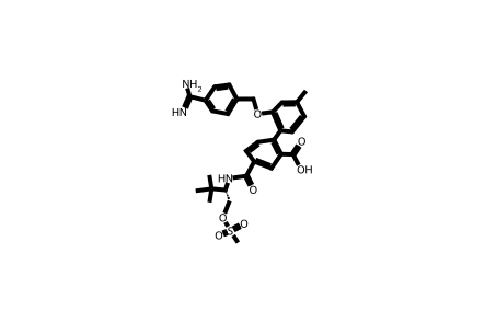 Cc1ccc(-c2ccc(C(=O)N[C@H](COS(C)(=O)=O)C(C)(C)C)cc2C(=O)O)c(OCc2ccc(C(=N)N)cc2)c1